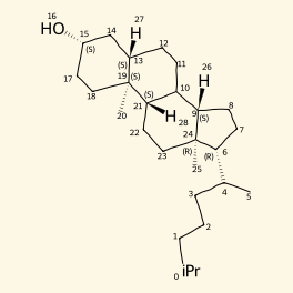 CC(C)CCCC(C)[C@H]1CC[C@H]2C3CC[C@H]4C[C@@H](O)CC[C@]4(C)[C@H]3CC[C@]12C